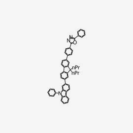 CCCC1(CCC)c2cc(-c3ccc(-c4nnc(-c5ccccc5)o4)cc3)ccc2-c2ccc(-c3ccc4c5ccccc5n(-c5ccccc5)c4c3)cc21